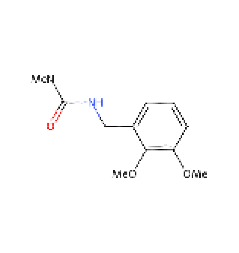 CNC(=O)NCc1cccc(OC)c1OC